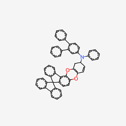 C1=CC(N(c2ccccc2)c2ccc(-c3ccccc3)c(-c3ccccc3)c2)CC2=C1Oc1ccc3c(c1O2)-c1ccccc1C31c2ccccc2-c2ccccc21